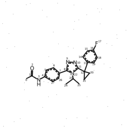 CC(=O)Nc1ccc(-c2nnc(C3(c4ccc(F)cc4)CC3)n2C(C)C)cc1